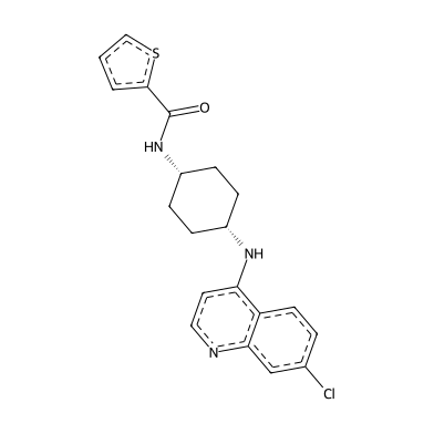 O=C(N[C@H]1CC[C@@H](Nc2ccnc3cc(Cl)ccc23)CC1)c1cccs1